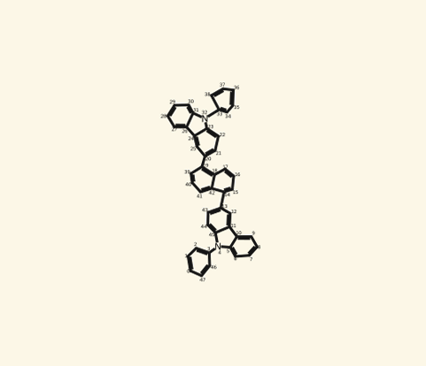 c1ccc(-n2c3ccccc3c3cc(-c4cccc5c(-c6ccc7c(c6)c6ccccc6n7-c6ccccc6)cccc45)ccc32)cc1